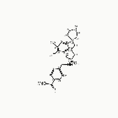 COC(=O)c1ccc(CNS(=O)(=O)CCC[N+]2(c3ccc(F)c(Cl)c3)CCOCC2)nc1